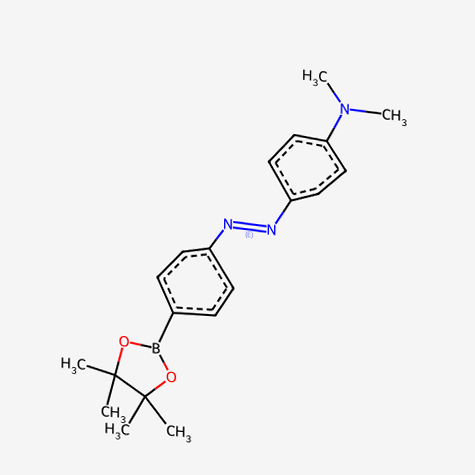 CN(C)c1ccc(/N=N/c2ccc(B3OC(C)(C)C(C)(C)O3)cc2)cc1